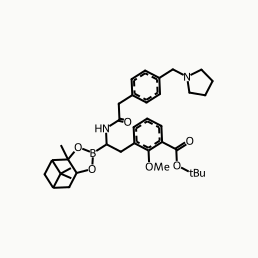 COc1c(CC(NC(=O)Cc2ccc(CN3CCCC3)cc2)B2OC3CC4CC(C4(C)C)C3(C)O2)cccc1C(=O)OC(C)(C)C